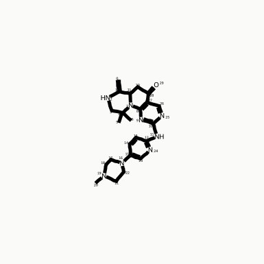 C=C1NCC(C)(C)N2c3nc(Nc4ccc(N5CCN(C)CC5)cn4)ncc3C(=O)CC12